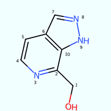 OCc1nccc2cn[nH]c12